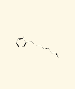 C=CCCCCOCc1ccccc1Cl